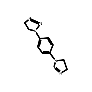 c1cc(N2CCN=N2)ccc1N1CCN=N1